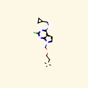 C[C@H](Nc1nc(Cl)nc2c1ccn2COCC[Si](C)(C)C)C1CC1